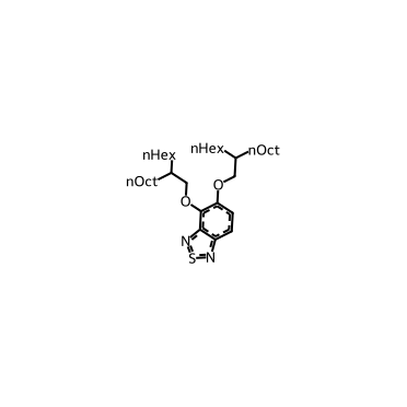 CCCCCCCCC(CCCCCC)COc1ccc2nsnc2c1OCC(CCCCCC)CCCCCCCC